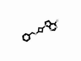 Clc1ncnc2c1ccn2C1CC(OCc2ccccc2)C1